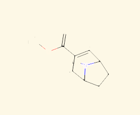 C=C(OC)C1=CC2CCC(C1)N2C